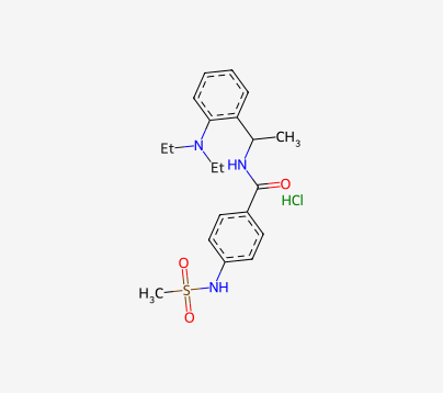 CCN(CC)c1ccccc1C(C)NC(=O)c1ccc(NS(C)(=O)=O)cc1.Cl